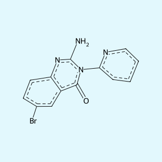 Nc1nc2ccc(Br)cc2c(=O)n1-c1ccccn1